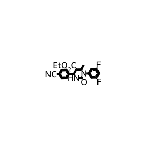 CCOC(=O)C1=C(C)N(c2cc(F)cc(F)c2)C(=O)NC1c1ccc(C#N)cc1